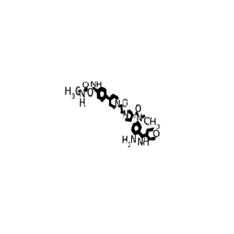 CCN(C(=O)[C@@H]1CCN(CC(=O)N2CC=C(c3ccc(C(=N)OC(=O)NC)cc3)CC2)C1)c1ccc(N)c(C(=N)C2CCOCC2)c1